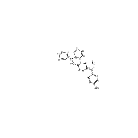 CC(=O)CC(c1ccc(C(C)(C)C)cc1)N1CCC(OC(c2ccccc2)c2ccccc2)CC1